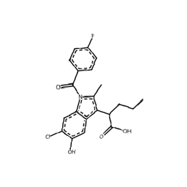 CCCC(C(=O)O)c1c(C)n(C(=O)c2ccc(F)cc2)c2cc(Cl)c(O)cc12